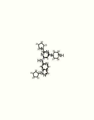 c1c(Nc2cc3c(cn2)cnn3C2CCCC2)nc(N2CCCC2)nc1N1CCNCC1